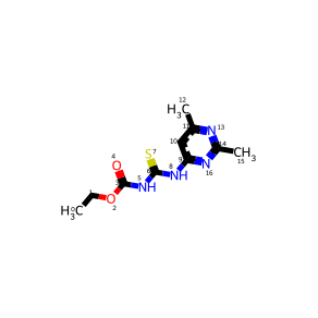 CCOC(=O)NC(=S)Nc1cc(C)nc(C)n1